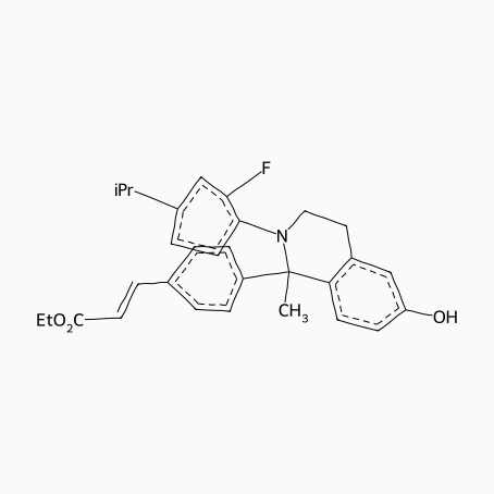 CCOC(=O)C=Cc1ccc(C2(C)c3ccc(O)cc3CCN2c2ccc(C(C)C)cc2F)cc1